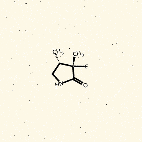 C[C@H]1CNC(=O)[C@@]1(C)F